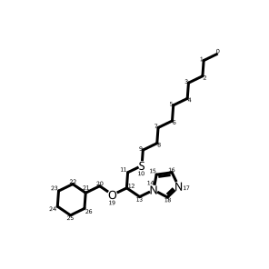 CCCCCCCCCCSCC(Cn1ccnc1)OCC1CCCCC1